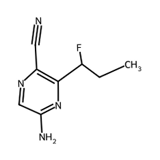 CCC(F)c1nc(N)cnc1C#N